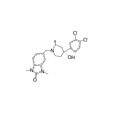 C[C@H]1C[C@@](O)(c2ccc(Cl)c(Cl)c2)CCN1Cc1ccc2c(c1)n(C)c(=O)n2C